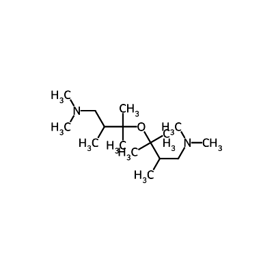 CC(CN(C)C)C(C)(C)OC(C)(C)C(C)CN(C)C